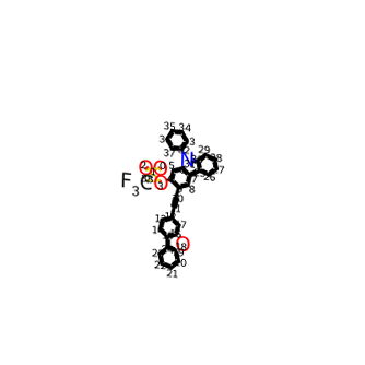 O=S(=O)(Oc1cc2c(cc1C#Cc1ccc3c(c1)oc1ccccc13)c1ccccc1n2-c1ccccc1)C(F)(F)F